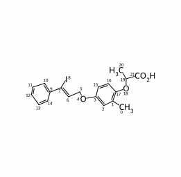 Cc1cc(OCC=C(I)c2ccccc2)ccc1OC(C)C(=O)O